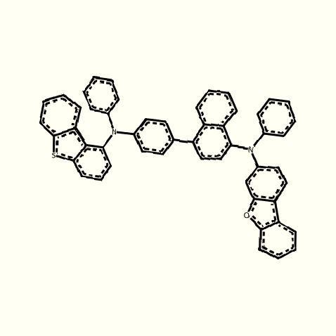 c1ccc(N(c2ccc3c(c2)oc2ccccc23)c2ccc(-c3ccc(N(c4ccccc4)c4cccc5sc6ccccc6c45)cc3)c3ccccc23)cc1